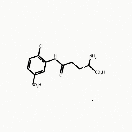 NC(CCC(=O)Nc1cc(S(=O)(=O)O)ccc1Cl)C(=O)O